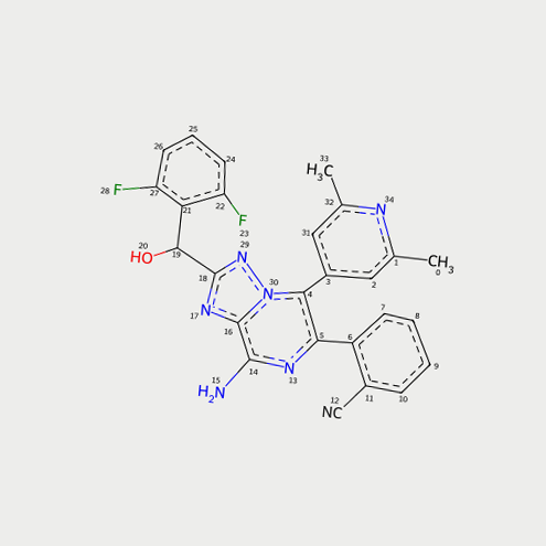 Cc1cc(-c2c(-c3ccccc3C#N)nc(N)c3nc(C(O)c4c(F)cccc4F)nn23)cc(C)n1